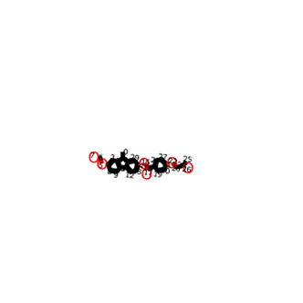 CC1c2cc(OC=O)ccc2-c2ccc(OC(=O)c3ccc(OCC4CO4)cc3)cc21